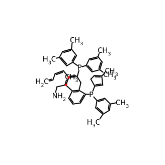 C=C/C=C\C(CCN)=C(\Cc1c(CC)cccc1P(C1=CC(C)=CC1)c1cc(C)cc(C)c1)P(c1cc(C)cc(C)c1)c1cc(C)cc(C)c1